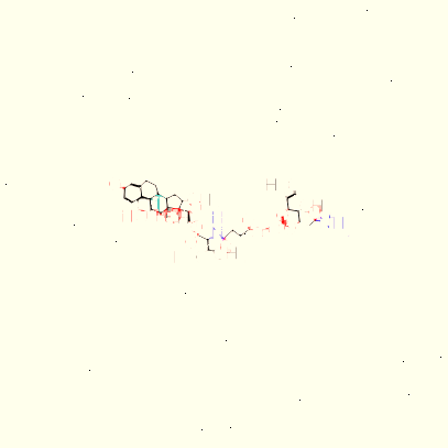 C/C=C/C[C@@H](C)[C@H](CC(N)=O)OC(=O)OCOC(=O)CCC(=O)NC(C(=O)OCC(=O)[C@@]1(O)[C@H](C)CC2C3CCC4=CC(=O)C=C[C@]4(C)[C@@]3(F)[C@@H](O)C[C@@]21C)C(C)C